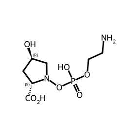 NCCOP(=O)(O)ON1C[C@H](O)C[C@H]1C(=O)O